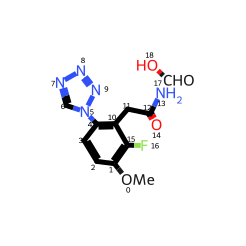 COc1ccc(-n2cnnn2)c(CC(N)=O)c1F.O=CO